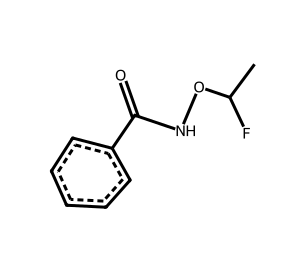 CC(F)ONC(=O)c1ccccc1